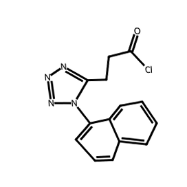 O=C(Cl)CCc1nnnn1-c1cccc2ccccc12